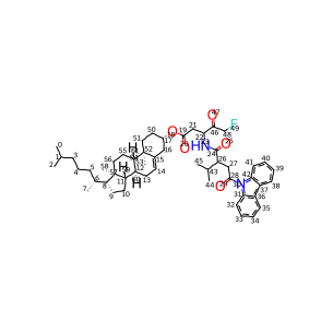 CC(C)CCC[C@@H](C)[C@H]1CC[C@H]2[C@@H]3CC=C4C[C@@H](OC(=O)CC(NC(=O)C(CC(=O)n5c6ccccc6c6ccccc65)C(C)C)C(=O)CF)CC[C@]4(C)[C@H]3CC[C@]12C